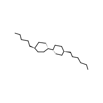 CCCCCC[C@H]1CC[C@H]([C@H]2CC[C@H](CCCCC)CC2)CC1